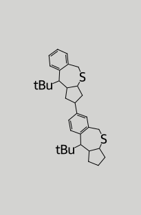 CC(C)(C)C1c2ccc(C3CC4SCc5ccccc5C(C(C)(C)C)C4C3)cc2CSC2CCCC21